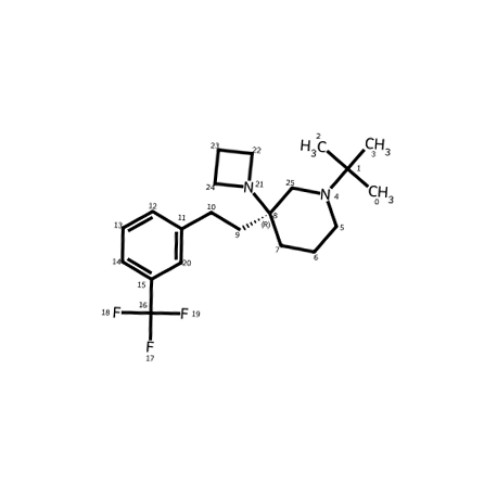 CC(C)(C)N1CCC[C@@](CCc2cccc(C(F)(F)F)c2)(N2CCC2)C1